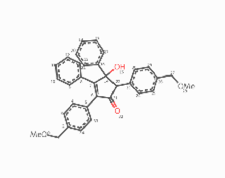 COCc1ccc(C2=C(c3ccccc3)C(O)(c3ccccc3)C(c3ccc(COC)cc3)C2=O)cc1